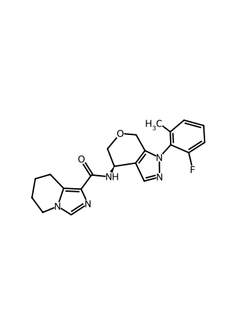 Cc1cccc(F)c1-n1ncc2c1COC[C@@H]2NC(=O)c1ncn2c1CCCC2